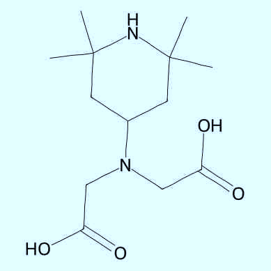 CC1(C)CC(N(CC(=O)O)CC(=O)O)CC(C)(C)N1